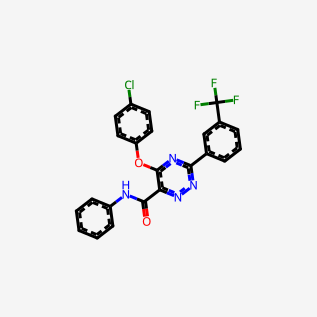 O=C(Nc1ccccc1)c1nnc(-c2cccc(C(F)(F)F)c2)nc1Oc1ccc(Cl)cc1